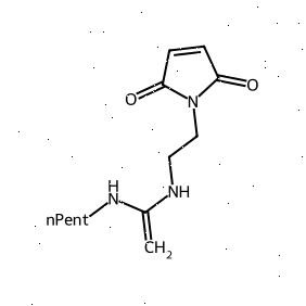 C=C(NCCCCC)NCCN1C(=O)C=CC1=O